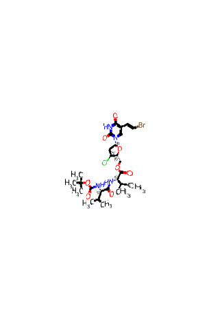 CC(C)[C@H](NC(=O)OC(C)(C)C)C(=O)N[C@H](C(=O)OC[C@H]1O[C@@H](n2cc(C=CBr)c(=O)[nH]c2=O)C[C@@H]1Cl)C(C)C